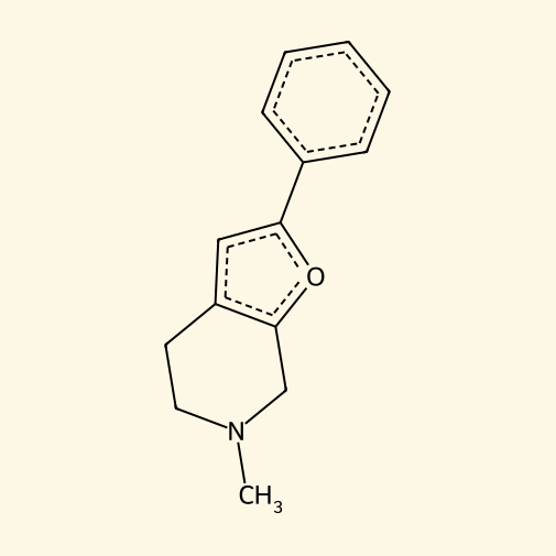 CN1CCc2cc(-c3ccccc3)oc2C1